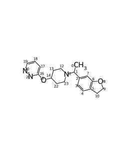 CC(c1ccc2c(c1)OCC2)N1CCC(Oc2cccnn2)CC1